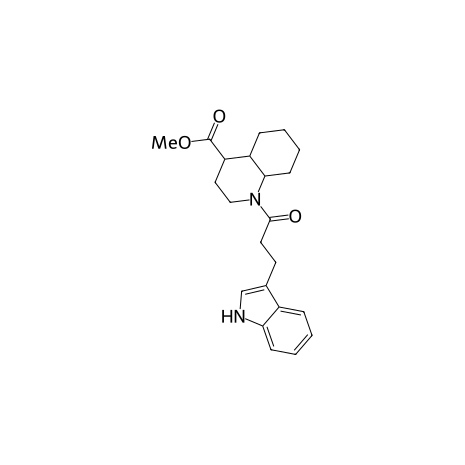 COC(=O)C1CCN(C(=O)CCc2c[nH]c3ccccc23)C2CCCCC12